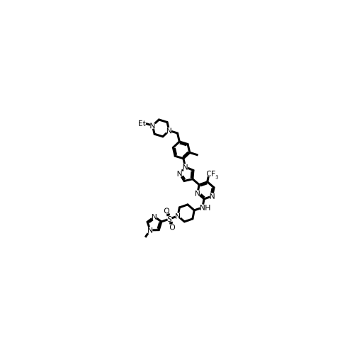 CCN1CCN(Cc2ccc(-n3cc(-c4nc(NC5CCN(S(=O)(=O)c6cn(C)cn6)CC5)ncc4C(F)(F)F)cn3)c(C)c2)CC1